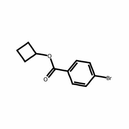 O=C(OC1CCC1)c1ccc(Br)cc1